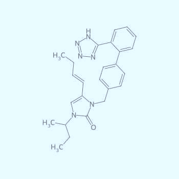 CCC=Cc1cn(C(C)CC)c(=O)n1Cc1ccc(-c2ccccc2-c2nnn[nH]2)cc1